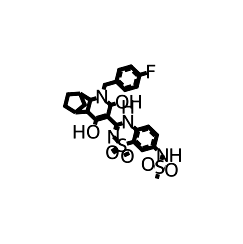 CS(=O)(=O)Nc1ccc2c(c1)S(=O)(=O)N=C(C1=C(O)C3C4CCC(C4)C3N(Cc3ccc(F)cc3)C1O)N2